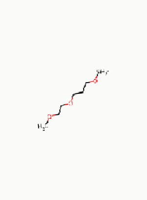 COCCOCCCO[SiH2]